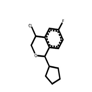 Fc1ccc2c(c1)C(Cl)COC2C1CCCC1